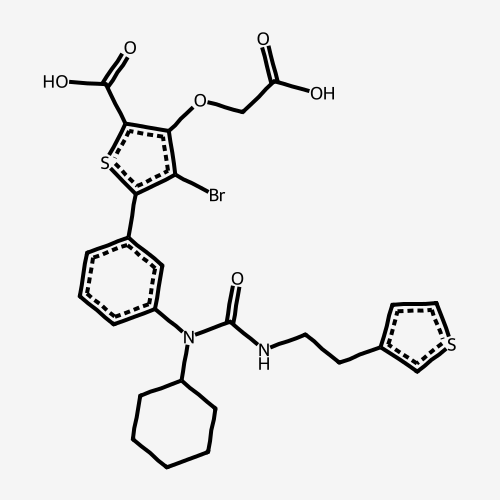 O=C(O)COc1c(C(=O)O)sc(-c2cccc(N(C(=O)NCCc3ccsc3)C3CCCCC3)c2)c1Br